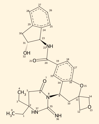 CCC1(CC)CC(=O)N([C@@H]2CC3(COC3)Oc3ccc(C(=O)N[C@@H]4c5ccccc5C[C@H]4O)cc32)C(=N)N1